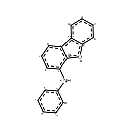 c1ccc(Nc2cccc3c2oc2ccccc23)cc1